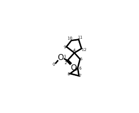 COC(=O)C1(CC2CC2)CCCC1